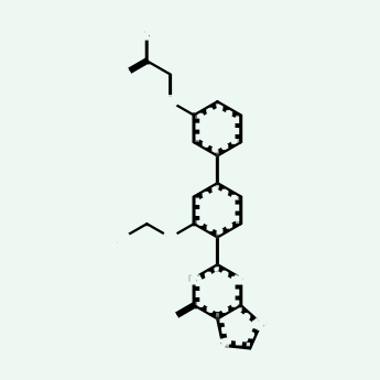 CCOc1cc(-c2cccc(OCC(N)=O)c2)ccc1-c1nc2[nH]cnc2c(=O)[nH]1